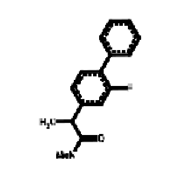 CNC(=O)C(C)c1ccc(-c2ccccc2)c(F)c1